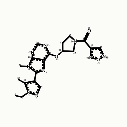 CCn1ncc(-c2nc3c(O[C@H]4CCN(C(=O)c5cnon5)C4)ncnc3n2C)c1C